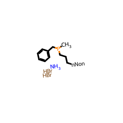 Br.Br.CCCCCCCCCCCCP(C)Cc1ccccc1.N